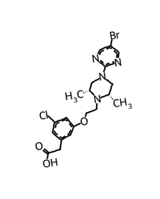 C[C@@H]1CN(c2ncc(Br)cn2)C[C@H](C)N1CCOc1cc(Cl)cc(CC(=O)O)c1